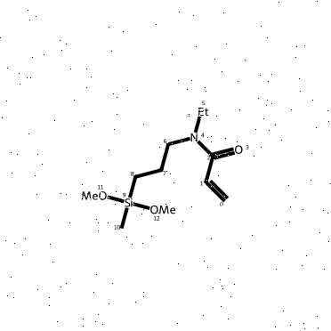 C=CC(=O)N(CC)CCC[Si](C)(OC)OC